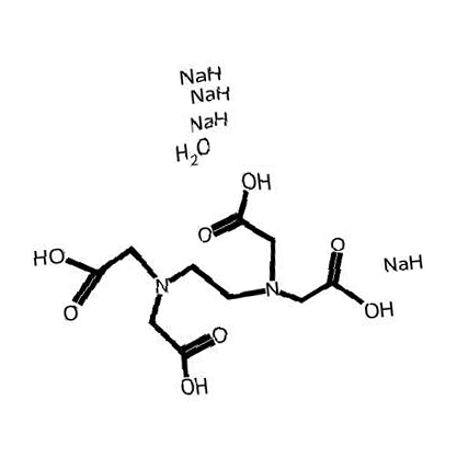 O.O=C(O)CN(CCN(CC(=O)O)CC(=O)O)CC(=O)O.[NaH].[NaH].[NaH].[NaH]